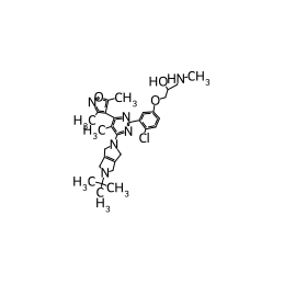 CNCC(O)COc1ccc(Cl)c(-c2nc(-c3c(C)noc3C)c(C)c(N3CC4=C(C3)CN(C(C)(C)C)C4)n2)c1